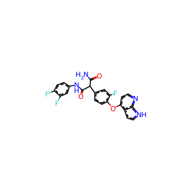 NC(=O)C(C(=O)Nc1ccc(F)c(F)c1)c1ccc(Oc2ccnc3[nH]ccc23)c(F)c1